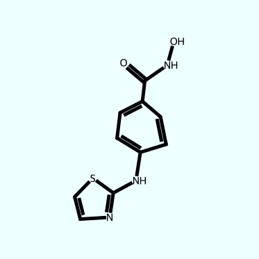 O=C(NO)c1ccc(Nc2nccs2)cc1